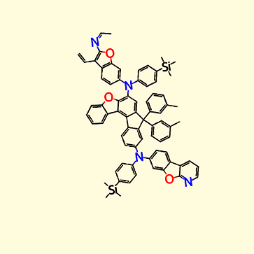 C=Cc1c(/N=C\C)oc2cc(N(c3ccc([Si](C)(C)C)cc3)c3cc4c(c5c3oc3ccccc35)-c3ccc(N(c5ccc([Si](C)(C)C)cc5)c5ccc6c(c5)oc5ncccc56)cc3C4(c3cccc(C)c3)c3cccc(C)c3)ccc12